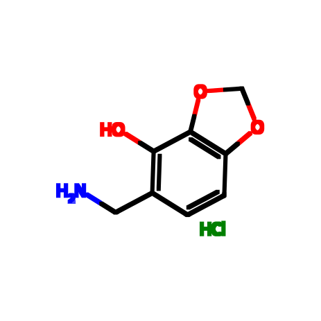 Cl.NCc1ccc2c(c1O)OCO2